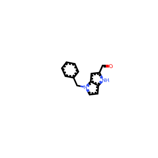 O=Cc1cc2c(ccn2Cc2ccccc2)[nH]1